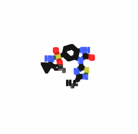 Cc1nsc(-n2c(=O)[nH]c3ccc(S(=O)(=O)NC4(C)CC4)cc32)n1